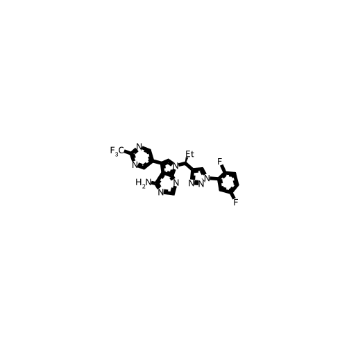 CC[C@@H](c1cn(-c2cc(F)ccc2F)nn1)n1cc(-c2cnc(C(F)(F)F)nc2)c2c(N)ncnc21